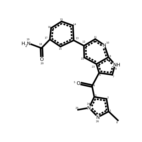 Cc1cc(C(=O)c2c[nH]c3ncc(-c4cccc(C(N)=O)c4)cc23)n(C)n1